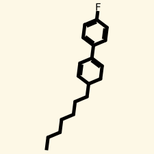 CCCCCCCC1C=CC(c2ccc(F)cc2)=CC1